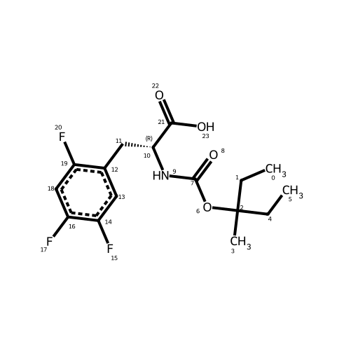 CCC(C)(CC)OC(=O)N[C@H](Cc1cc(F)c(F)cc1F)C(=O)O